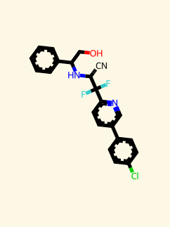 N#CC(NC(CO)c1ccccc1)C(F)(F)c1ccc(-c2ccc(Cl)cc2)cn1